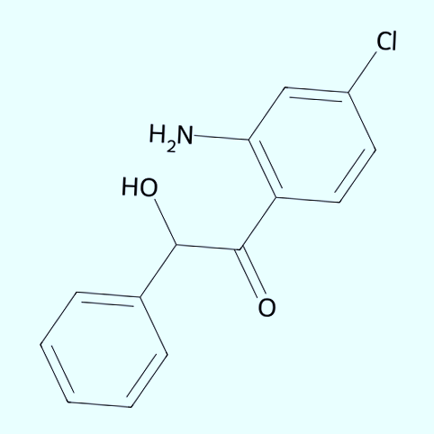 Nc1cc(Cl)ccc1C(=O)C(O)c1ccccc1